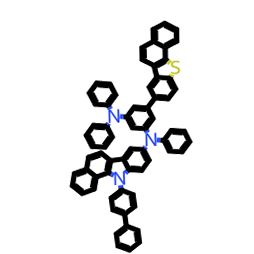 c1ccc(-c2ccc(-n3c4ccc(N(c5ccccc5)c5cc(-c6ccc7sc8c9ccccc9ccc8c7c6)cc(N(c6ccccc6)c6ccccc6)c5)cc4c4ccc5ccccc5c43)cc2)cc1